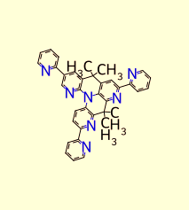 CC1(C)c2cc(-c3ccccn3)cnc2N2c3ccc(-c4ccccn4)nc3C(C)(C)c3nc(-c4ccccn4)cc1c32